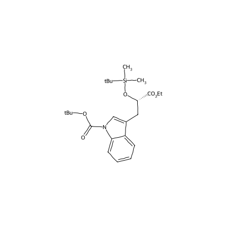 CCOC(=O)[C@H](Cc1cn(C(=O)OC(C)(C)C)c2ccccc12)O[Si](C)(C)C(C)(C)C